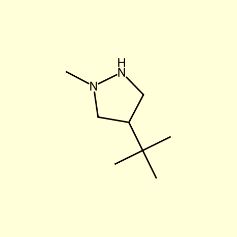 CN1CC(C(C)(C)C)CN1